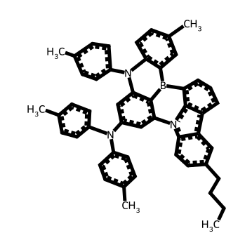 CCCCc1ccc2c(c1)c1cccc3c1n2-c1cc(N(c2ccc(C)cc2)c2ccc(C)cc2)cc2c1B3c1cc(C)ccc1N2c1ccc(C)cc1